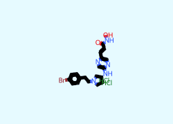 Cl.Cl.O=C(C=Cc1cnc(N[C@@H]2CCN(CCc3ccc(Br)cc3)C2)cn1)NO